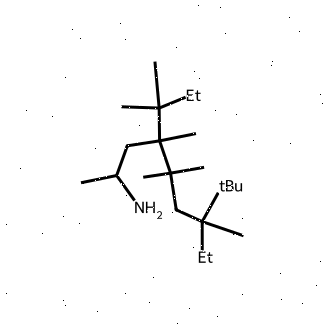 CCC(C)(C)C(C)(CC(C)N)C(C)(C)CC(C)(CC)C(C)(C)C